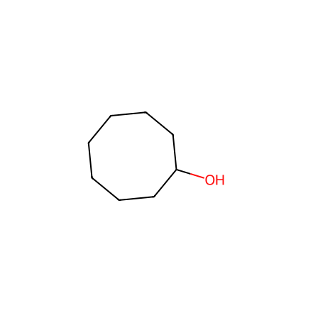 OC1CCCCCCC1